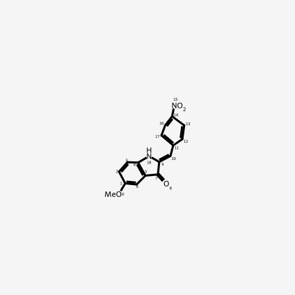 COc1ccc2c(c1)C(=O)/C(=C/c1ccc([N+](=O)[O-])cc1)N2